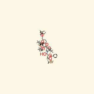 C=C(Br)C[C@H](CCC(O)/C=C/C(O[Si](C)(C)C(C)(C)C)[C@@H]1OC2CCC(CCO[Si](CC)(CC)CC)O[C@@H]2C(O[Si](C)(C)C(C)(C)C)C1O[Si](C)(C)C(C)(C)C)OC(=O)c1ccccc1